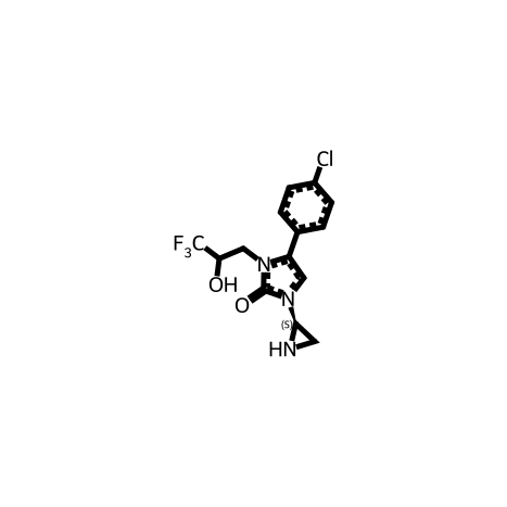 O=c1n([C@H]2CN2)cc(-c2ccc(Cl)cc2)n1CC(O)C(F)(F)F